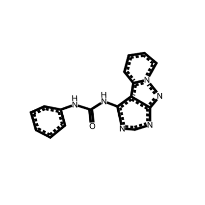 O=C(Nc1ccccc1)Nc1ncnc2nn3ccccc3c12